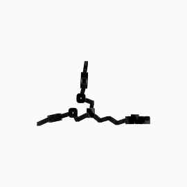 CC#COCN(CCCCCCCCCCCC)COC#CC